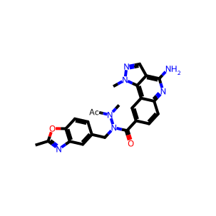 CC(=O)N(C)N(Cc1ccc2oc(C)nc2c1)C(=O)c1ccc2nc(N)c3cnn(C)c3c2c1